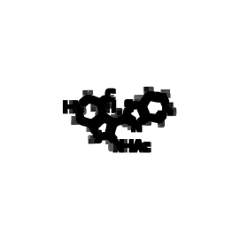 CC(=O)Nc1sc2c(c1-c1nc3cnccc3s1)C(C)CNC2